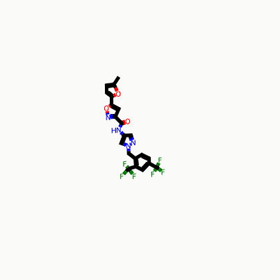 Cc1ccc(-c2cc(C(=O)Nc3cnn(Cc4ccc(C(F)(F)F)cc4C(F)(F)F)c3)no2)o1